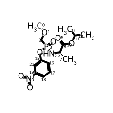 COCP(=O)(N[C@@H](C)C(=O)OC(C)C)Oc1cccc([N+](=O)[O-])c1